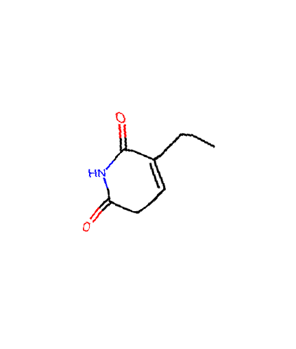 CCC1=CCC(=O)NC1=O